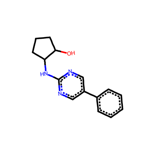 OC1CCCC1Nc1ncc(-c2ccccc2)cn1